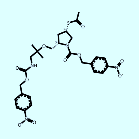 CC(=O)S[C@H]1C[C@@H](COC(C)(C)CNC(=O)OCc2ccc([N+](=O)[O-])cc2)N(C(=O)OCc2ccc([N+](=O)[O-])cc2)C1